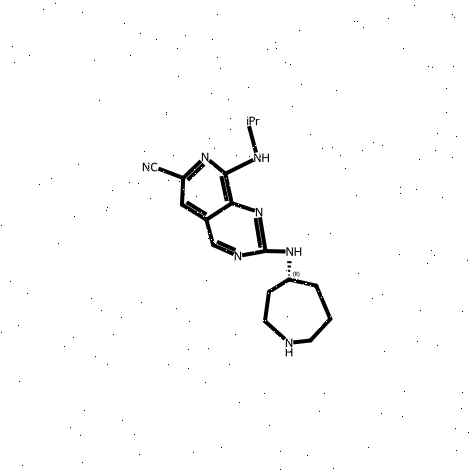 CC(C)Nc1nc(C#N)cc2cnc(N[C@@H]3CCCNCC3)nc12